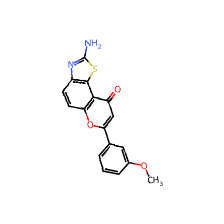 COc1cccc(-c2cc(=O)c3c(ccc4nc(N)sc43)o2)c1